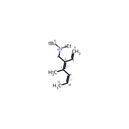 C=C/C(CN(CC)C(C)(C)C)=C(C)\C=C/C